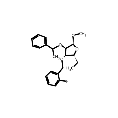 CC[C@H]1O[C@H](OC)[C@H](OC(C)c2ccccc2)[C@H]1OCc1ccccc1F